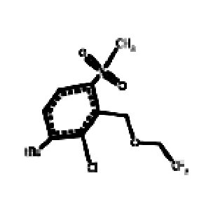 CC(C)(C)c1ccc(S(C)(=O)=O)c(COCC(F)(F)F)c1Cl